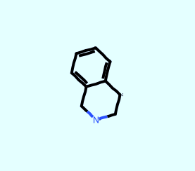 [C]1C[N]Cc2ccccc21